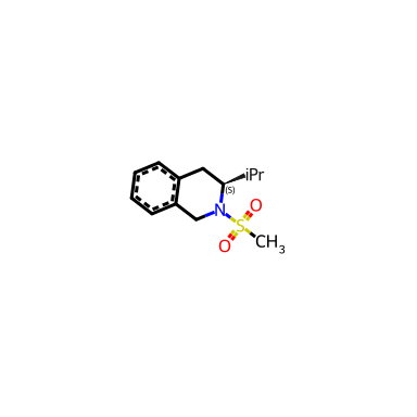 CC(C)[C@@H]1Cc2ccccc2CN1S(C)(=O)=O